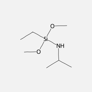 CC[Si](NC(C)C)(OC)OC